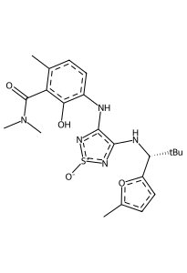 Cc1ccc([C@H](Nc2n[s+]([O-])nc2Nc2ccc(C)c(C(=O)N(C)C)c2O)C(C)(C)C)o1